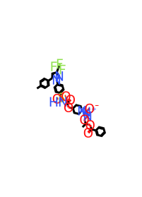 Cc1ccc(-c2cc(C(F)(F)F)nn2-c2ccc(S(=O)(=O)NC(=O)OC3CCN(/[N+]([O-])=N\OC(C)OC(=O)c4ccccc4)CC3)cc2)cc1